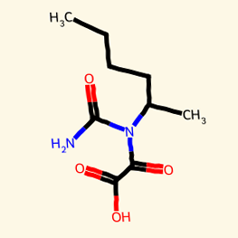 CCCCC(C)N(C(N)=O)C(=O)C(=O)O